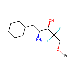 CC(C)OCC(F)(F)[C@H](O)[C@@H](N)CC1CCCCC1